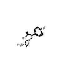 C=C(C(C)C)[C@H](CN1CC[C@@H](N)C1)c1ccc(Cl)cc1